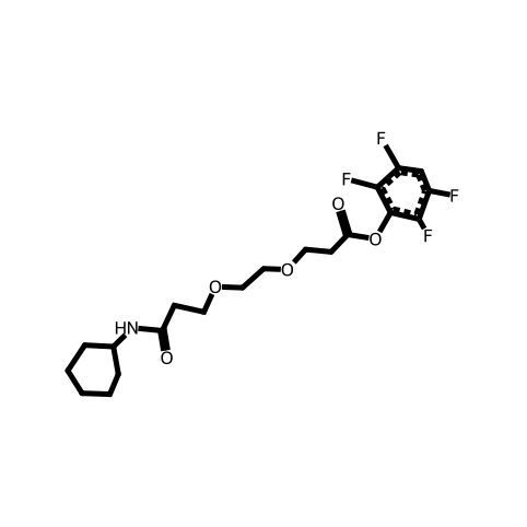 O=C(CCOCCOCCC(=O)Oc1c(F)c(F)cc(F)c1F)NC1CCCCC1